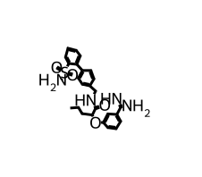 CCCC(Oc1cccc(C(=N)N)c1)C(=O)NCc1ccc(-c2ccccc2S(N)(=O)=O)cc1